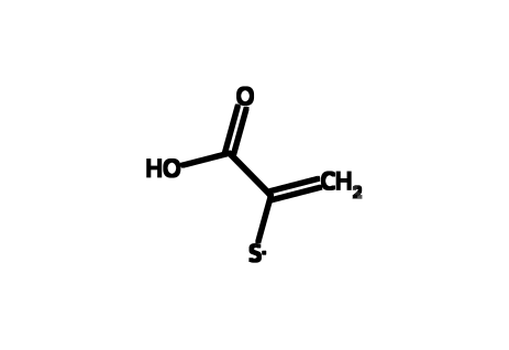 C=C([S])C(=O)O